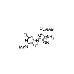 CNC(=O)[C@H]1O[C@@H](n2cnc3c(NC)nc(Cl)nc32)[C@H](O)[C@@H]1N